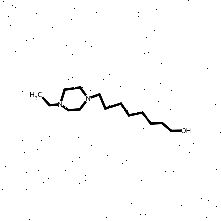 CCN1CCN(CCCCCCCCO)CC1